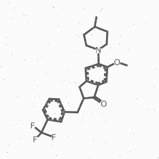 COc1cc2c(cc1N1CCC(C)CC1)CC(Cc1cccc(C(F)(F)F)c1)C2=O